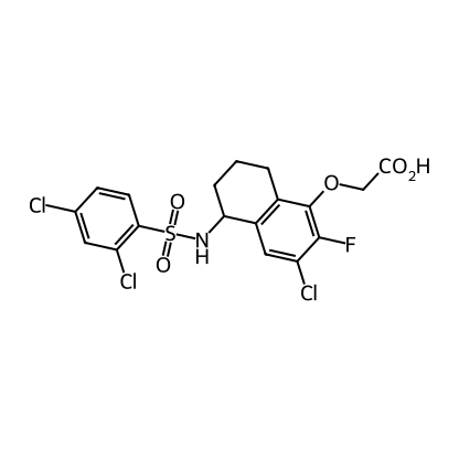 O=C(O)COc1c(F)c(Cl)cc2c1CCCC2NS(=O)(=O)c1ccc(Cl)cc1Cl